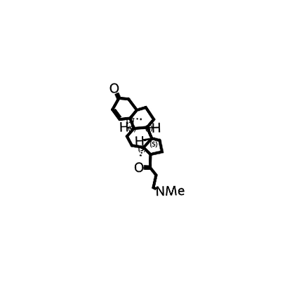 CNCCC(=O)C1CC[C@H]2[C@@H]3CCC4CC(=O)C=C[C@]4(C)[C@@H]3CC[C@]12C